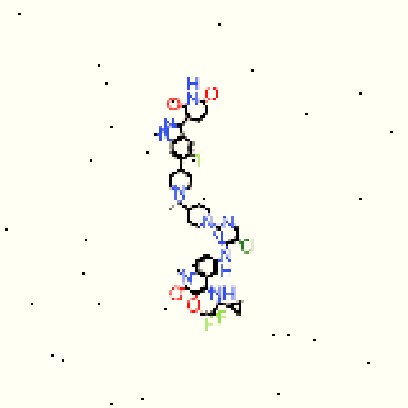 C[C@@H](C1CCN(c2ncc(Cl)c(Nc3ccc4c(c3)c3c(c(=O)n4C)OCC(F)(F)[C@H](C4CC4)N3)n2)CC1)N1CCC(c2cc3c(cc2F)c(C2CCC(=O)NC2=O)nn3C)CC1